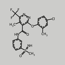 Cc1cc(Cl)ccc1Oc1nnc(C(F)(F)F)c(C)c1C(=O)Nc1cccc(S(C)(=N)=O)c1